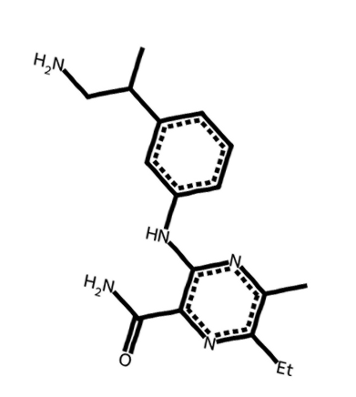 CCc1nc(C(N)=O)c(Nc2cccc(C(C)CN)c2)nc1C